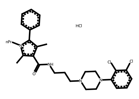 CCCn1c(C)c(C(=O)NCCCN2CCN(c3cccc(Cl)c3Cl)CC2)c(C)c1-c1ccccc1.Cl